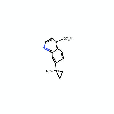 N#CC1(c2ccc3c(C(=O)O)ccnc3c2)CC1